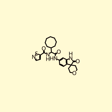 O=C(NC(C(=O)Nc1ccc2c(c1)NC(=O)C21CCOCC1)C1CCCCCCC1)c1ccns1